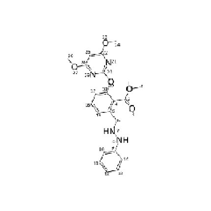 COC(=O)c1c(CNNc2ccccc2)cccc1Oc1nc(OC)cc(OC)n1